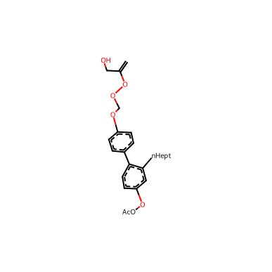 C=C(CO)OOCOc1ccc(-c2ccc(OOC(C)=O)cc2CCCCCCC)cc1